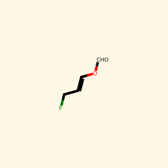 O=COC=CCF